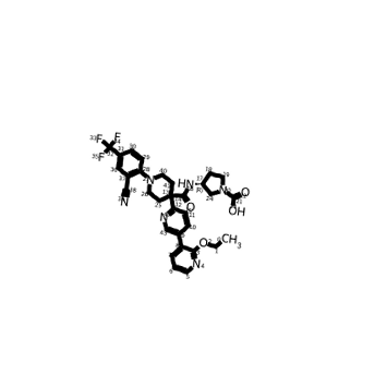 CCOc1ncccc1-c1ccc(C2(C(=O)N[C@@H]3CCN(C(=O)O)C3)CCN(c3ccc(C(F)(F)F)cc3C#N)CC2)nc1